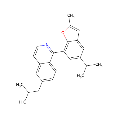 Cc1cc2cc(C(C)C)cc(-c3nccc4cc(CC(C)C)ccc34)c2o1